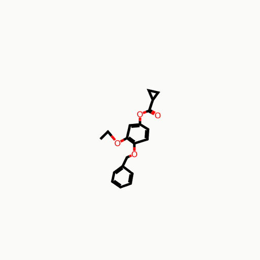 CCOc1cc(OC(=O)C2CC2)ccc1OCc1ccccc1